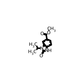 COC(=O)c1ccc2[nH]c(=O)n(C(C)C)c2c1